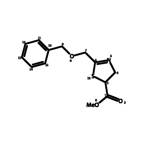 COC(=O)C1CN=C(COCc2ccccc2)S1